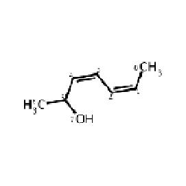 C/C=C\C=C/C(C)O